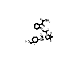 C[C@@]1(CO)CCC[C@H](NC(=O)[C@@H]2C[C@H]3C[C@H]3N2C(=O)Cn2nc(C(N)=O)c3ccccc32)C1